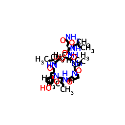 CCC(C)C(=O)N[C@@H](CCC(N)=O)C(=O)N[C@@H]1C(=O)N[C@@H](CC(C)C)C(=O)N2CCC[C@H]2C(=O)NC(C(C)CC)C(=O)N(C)C(Cc2ccc(O)cc2)C(=O)N[C@@H](C(C)CC)C(=O)O[C@@H]1C